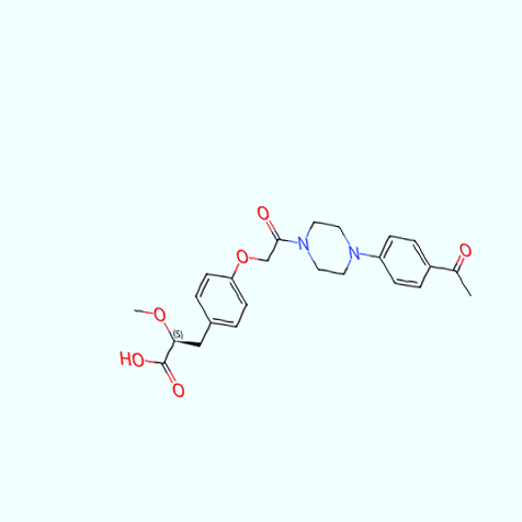 CO[C@@H](Cc1ccc(OCC(=O)N2CCN(c3ccc(C(C)=O)cc3)CC2)cc1)C(=O)O